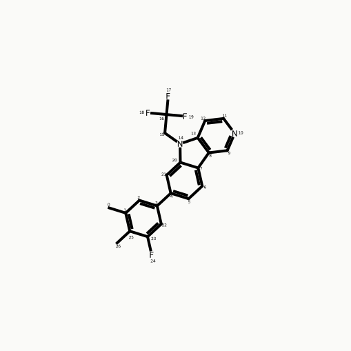 Cc1cc(-c2ccc3c4cnccc4n(CC(F)(F)F)c3c2)cc(F)c1C